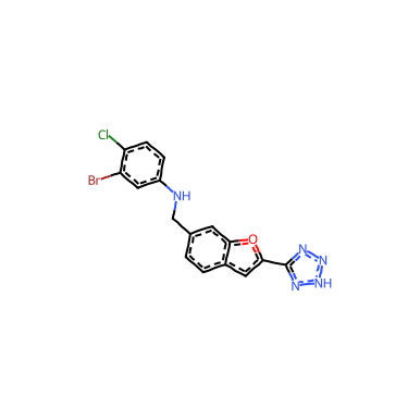 Clc1ccc(NCc2ccc3cc(-c4nn[nH]n4)oc3c2)cc1Br